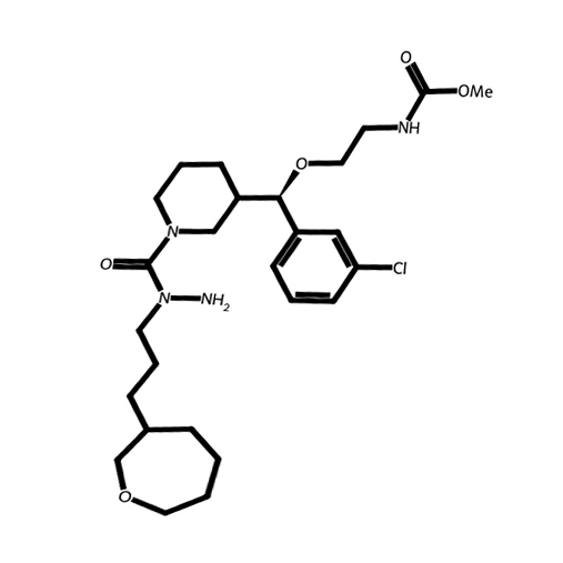 COC(=O)NCCO[C@@H](c1cccc(Cl)c1)C1CCCN(C(=O)N(N)CCCC2CCCCOC2)C1